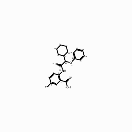 O=C(O)c1cc(Cl)ccc1NC(=O)C(Oc1ccccc1)C1CCCCC1